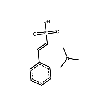 CN(C)C.O=S(=O)(O)C=Cc1ccccc1